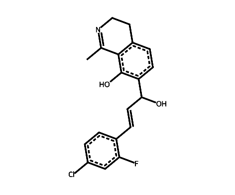 CC1=NCCc2ccc(C(O)C=Cc3ccc(Cl)cc3F)c(O)c21